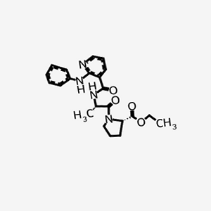 CCOC(=O)[C@@H]1CCCN1C(=O)[C@H](C)NC(=O)c1cccnc1Nc1ccccc1